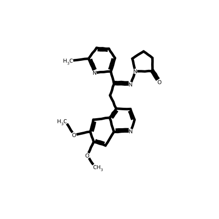 COc1cc2nccc(CC(=NN3CCCC3=O)c3cccc(C)n3)c2cc1OC